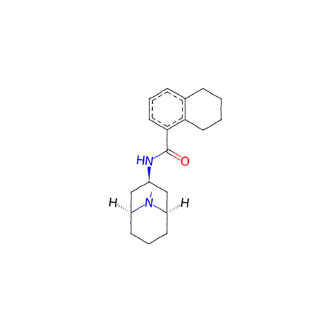 CN1[C@@H]2CCC[C@H]1C[C@@H](NC(=O)c1cccc3c1CCCC3)C2